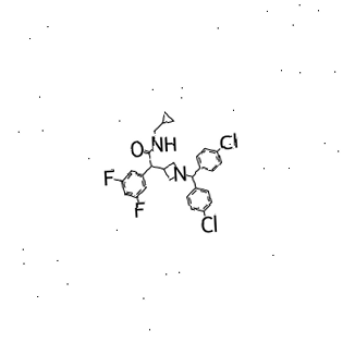 O=C(NCC1CC1)C(c1cc(F)cc(F)c1)C1CN(C(c2ccc(Cl)cc2)c2ccc(Cl)cc2)C1